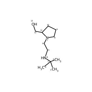 CC(C)(C)NCCN1CCCC1CO